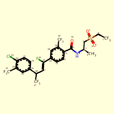 C[C@H](CS(=O)(=O)CC(F)(F)F)NC(=O)c1ccc(/C(F)=C/C(c2ccc(Cl)c(C(F)(F)F)c2)C(F)(F)F)cc1C(F)(F)F